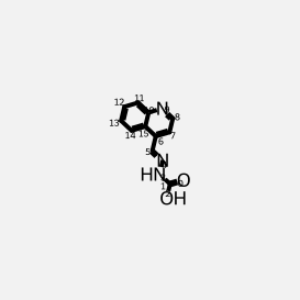 O=C(O)N/N=C/c1ccnc2ccccc12